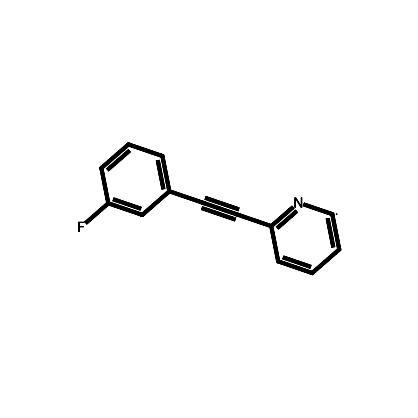 Fc1cccc(C#Cc2ccc[c]n2)c1